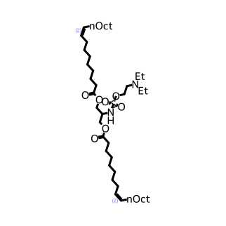 CCCCCCCC/C=C\CCCCCCCC(=O)OCC(COC(=O)CCCCCCC/C=C\CCCCCCCC)NS(=O)(=O)OCCN(CC)CC